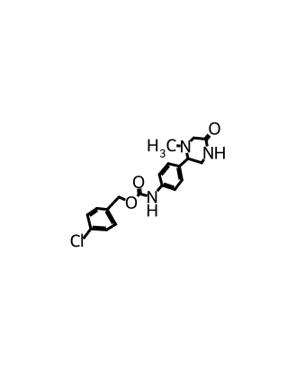 CN1CC(=O)NCC1c1ccc(NC(=O)OCc2ccc(Cl)cc2)cc1